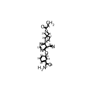 C=CC(=O)N1CC2(CCN(c3ncnc(Oc4cccc(C(N)=O)c4)c3C#N)C2)C1